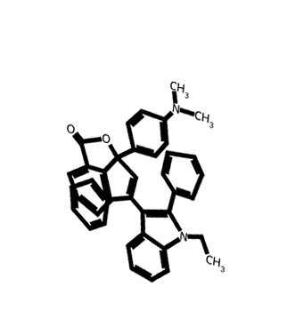 CCn1c(-c2ccccc2)c(/C(=C/C2(c3ccc(N(C)C)cc3)OC(=O)c3ccccc32)c2ccccc2)c2ccccc21